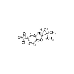 CC(C)(C)c1nc2cc(S(=O)(=O)Cl)ccc2o1